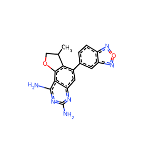 CC1COc2c1c(-c1ccc3nonc3c1)cc1nc(N)nc(N)c21